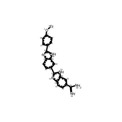 CCOc1ccc(-c2nc3ccc(-c4nc5ccc(C(=N)N)cc5[nH]4)cc3[nH]2)cc1